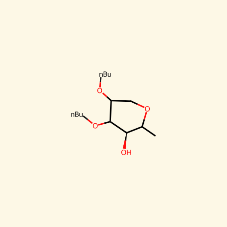 CCCCOC1COC(C)[C@@H](O)C1OCCCC